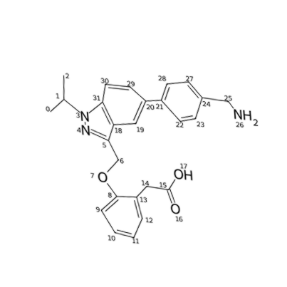 CC(C)n1nc(COc2ccccc2CC(=O)O)c2cc(-c3ccc(CN)cc3)ccc21